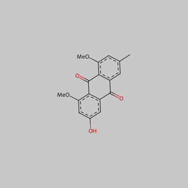 COc1cc(C)cc2c1C(=O)c1c(OC)cc(O)cc1C2=O